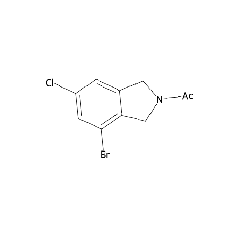 CC(=O)N1Cc2cc(Cl)cc(Br)c2C1